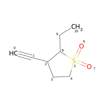 C#CC1CCS(=O)(=O)C1CC